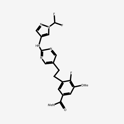 CNC(=O)c1cc(CCc2cnc(Nc3cnn(C(F)F)c3)nc2)c(F)c(OC)c1